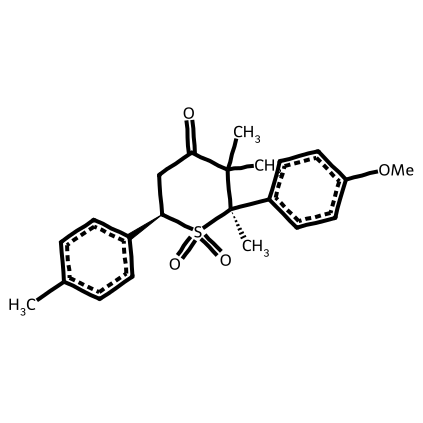 COc1ccc([C@]2(C)C(C)(C)C(=O)C[C@H](c3ccc(C)cc3)S2(=O)=O)cc1